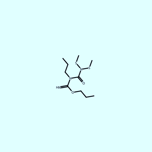 CCCOC(=N)N(CCC)C(=O)N(SC)SC